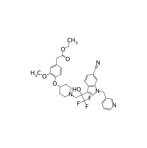 CCOC(=O)Cc1ccc(OC2CCN(CC(O)(c3cn(Cc4cccnc4)c4cc(C#N)ccc34)C(F)(F)F)CC2)c(OC)c1